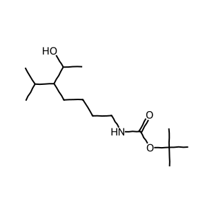 CC(C)C(CCCCNC(=O)OC(C)(C)C)C(C)O